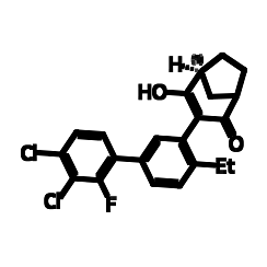 CCc1ccc(-c2ccc(Cl)c(Cl)c2F)cc1C1=C(O)[C@H]2CCC(C2)C1=O